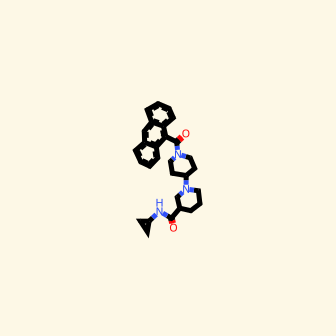 O=C(NC1CC1)C1CCCN(C2CCN(C(=O)c3c4ccccc4cc4ccccc34)CC2)C1